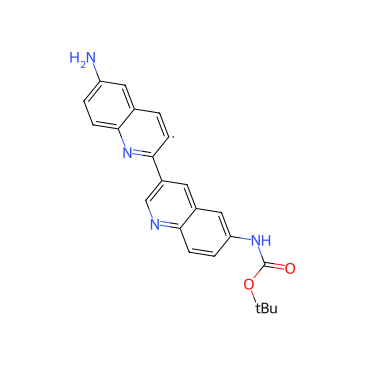 CC(C)(C)OC(=O)Nc1ccc2ncc(-c3[c]cc4cc(N)ccc4n3)cc2c1